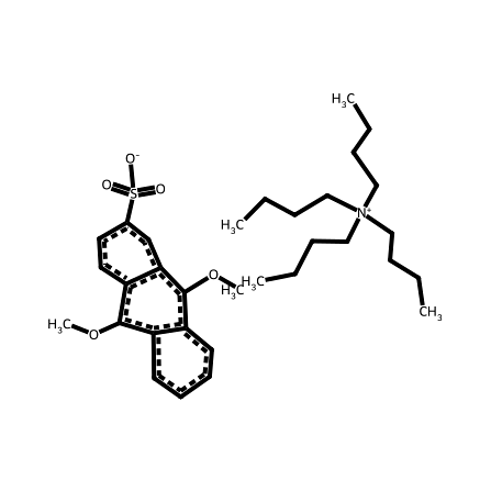 CCCC[N+](CCCC)(CCCC)CCCC.COc1c2ccccc2c(OC)c2cc(S(=O)(=O)[O-])ccc12